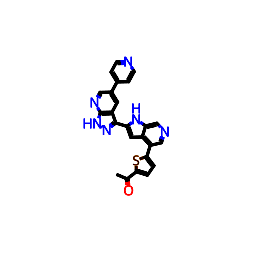 CC(=O)c1ccc(-c2cncc3[nH]c(-c4n[nH]c5ncc(-c6ccncc6)cc45)cc23)s1